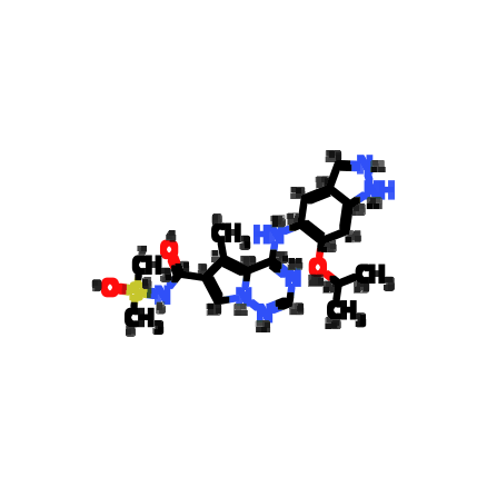 Cc1c(C(=O)N=S(C)(C)=O)cn2ncnc(Nc3cc4cn[nH]c4cc3OC(C)C)c12